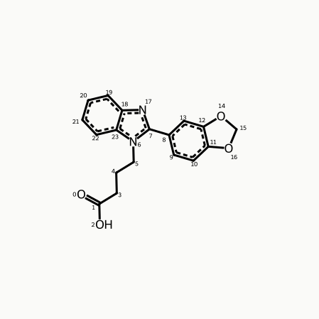 O=C(O)CCCn1c(-c2ccc3c(c2)OCO3)nc2ccccc21